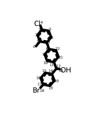 Cc1cc(Cl)ccc1-c1ccc(C(O)c2ccc(Br)cc2)cc1